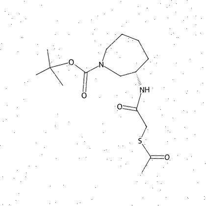 CC(=O)SCC(=O)N[C@H]1CCCCN(C(=O)OC(C)(C)C)C1